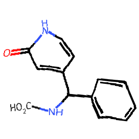 O=C(O)NC(c1ccccc1)c1cc[nH]c(=O)c1